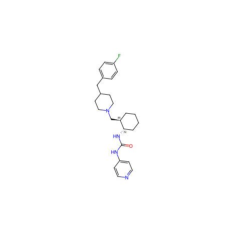 O=C(Nc1ccncc1)N[C@H]1CCCC[C@@H]1CN1CCC(Cc2ccc(F)cc2)CC1